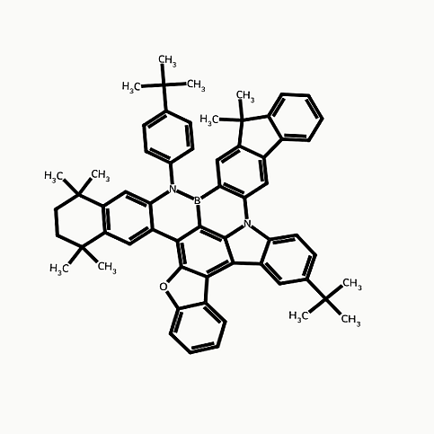 CC(C)(C)c1ccc(N2B3c4cc5c(cc4-n4c6ccc(C(C)(C)C)cc6c6c7c(oc8ccccc87)c(c3c64)-c3cc4c(cc32)C(C)(C)CCC4(C)C)-c2ccccc2C5(C)C)cc1